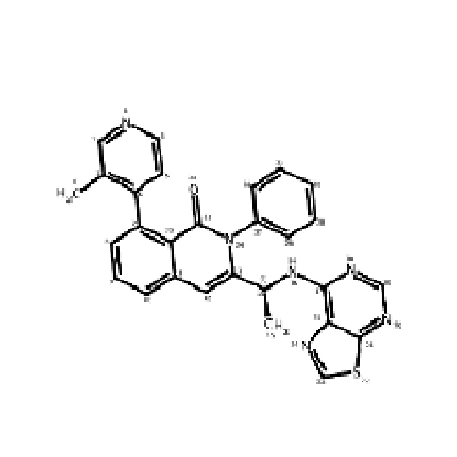 Cc1cnccc1-c1cccc2cc([C@H](C)Nc3ncnc4scnc34)n(-c3ccccc3)c(=O)c12